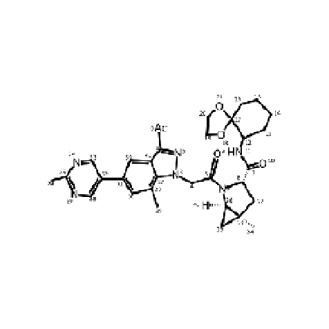 CC(=O)c1nn(CC(=O)N2[C@H](C(=O)N[C@@H]3CCCCC34OCCO4)C[C@@]3(C)C[C@@H]23)c2c(C)cc(-c3cnc(C)nc3)cc12